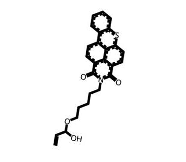 C=CC(O)OCCCCCn1c(=O)c2ccc3sc4ccccc4c4ccc(c1=O)c2c34